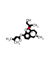 C/C=C\[C@@]12CCN(C)Cc3ccc(OC(=O)C=C(C)C)c(c31)OC2CCO